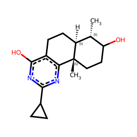 C[C@@H]1C(O)CC[C@]2(C)c3nc(C4CC4)nc(O)c3CC[C@@H]12